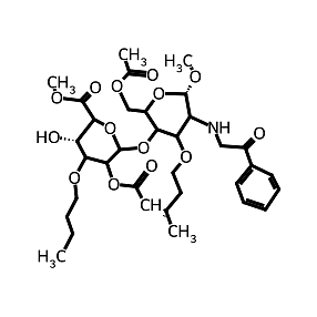 CCCCOC1C(OC2OC(C(=O)OC)[C@@H](O)C(OCCCC)C2OC(C)=O)C(COC(C)=O)O[C@H](OC)C1NCC(=O)c1ccccc1